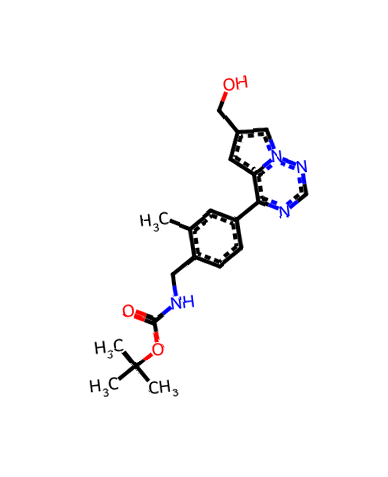 Cc1cc(-c2ncnn3cc(CO)cc23)ccc1CNC(=O)OC(C)(C)C